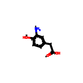 Nc1cc(CC(=O)O)ccc1O